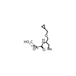 CCC(C)CC(COCC1CC1)NC(=O)[C@H]1O[C@@H]1C(=O)O